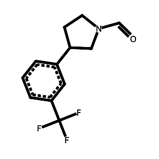 O=CN1CCC(c2cccc(C(F)(F)F)c2)C1